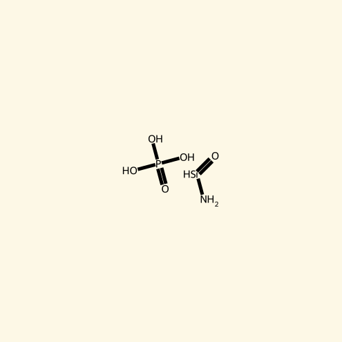 N[SiH]=O.O=P(O)(O)O